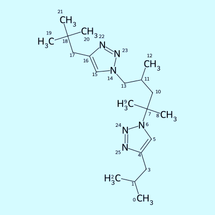 CC(C)Cc1cn(C(C)(C)CC(C)Cn2cc(CC(C)(C)C)nn2)nn1